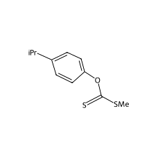 CSC(=S)Oc1ccc(C(C)C)cc1